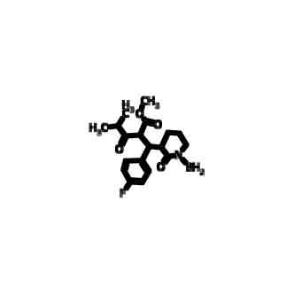 BN1CCCC(C(c2ccc(F)cc2)C(C(=O)OC)C(=O)C(C)C)C1=O